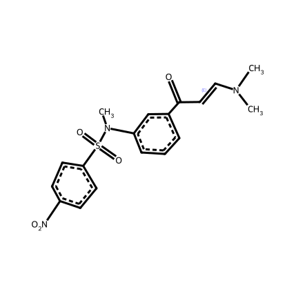 CN(C)/C=C/C(=O)c1cccc(N(C)S(=O)(=O)c2ccc([N+](=O)[O-])cc2)c1